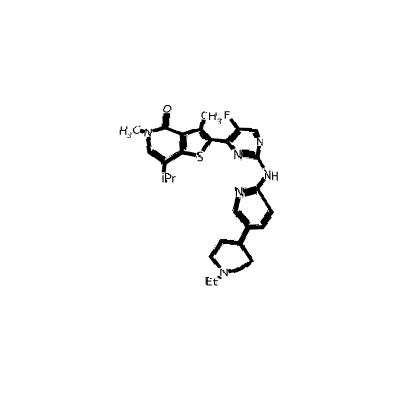 CCN1CCC(c2ccc(Nc3ncc(F)c(-c4sc5c(C(C)C)cn(C)c(=O)c5c4C)n3)nc2)CC1